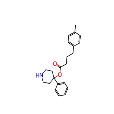 Cc1ccc(CCCC(=O)OC2(c3ccccc3)CCNCC2)cc1